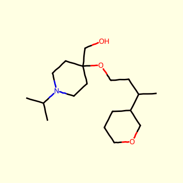 CC(CCOC1(CO)CCN(C(C)C)CC1)C1CCCOC1